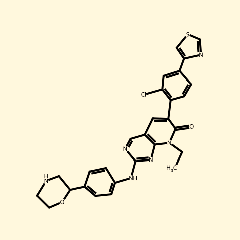 CCn1c(=O)c(-c2ccc(-c3cscn3)cc2Cl)cc2cnc(Nc3ccc(C4CNCCO4)cc3)nc21